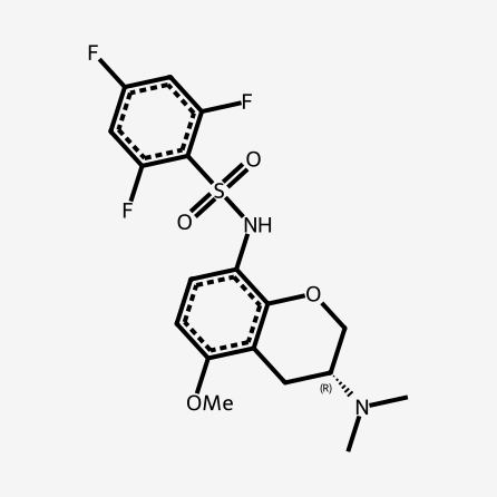 COc1ccc(NS(=O)(=O)c2c(F)cc(F)cc2F)c2c1C[C@@H](N(C)C)CO2